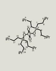 CC(C)CC[Si](CCC(C)C)(CCC(C)C)[O][Cr](=[O])(=[O])[O][Si](CCC(C)C)(CCC(C)C)CCC(C)C